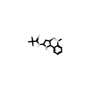 COc1ccccc1C1NC(OC(=O)C(C)(C)C)CC1N